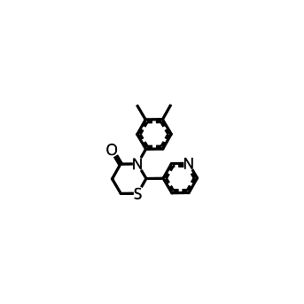 Cc1ccc(N2C(=O)CCSC2c2cccnc2)cc1C